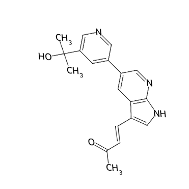 CC(=O)/C=C/c1c[nH]c2ncc(-c3cncc(C(C)(C)O)c3)cc12